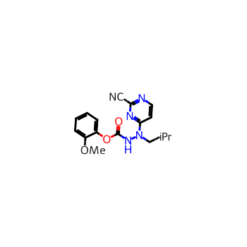 COc1ccccc1OC(=O)NN(CC(C)C)c1ccnc(C#N)n1